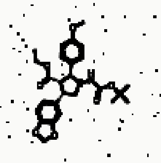 CCOC(=O)[C@H]1[C@@H](c2ccc3c(c2)OCO3)CN(NC(=O)OC(C)(C)C)[C@@H]1c1ccc(OC)cc1